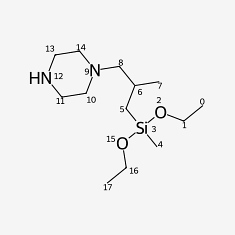 CCO[Si](C)(CC(C)CN1CCNCC1)OCC